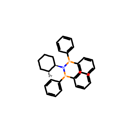 CC(C)[C@@H]1CCCC[C@H]1N(P(c1ccccc1)c1ccccc1)P(c1ccccc1)c1ccccc1